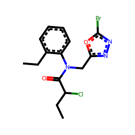 CCc1ccccc1N(Cc1nnc(Br)o1)C(=O)C(Cl)CC